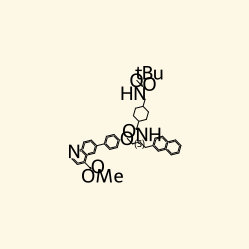 COC(=O)c1ccnc2ccc(-c3ccc(OC[C@H](Cc4ccc5ccccc5c4)NC(=O)C4CCC(CNC(=O)OC(C)(C)C)CC4)cc3)cc12